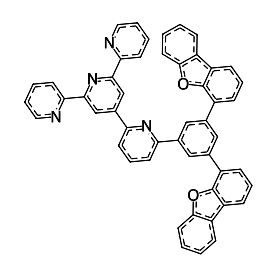 c1ccc(-c2cc(-c3cccc(-c4cc(-c5cccc6c5oc5ccccc56)cc(-c5cccc6c5oc5ccccc56)c4)n3)cc(-c3ccccn3)n2)nc1